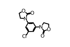 O=C1OCCN1c1cc(Cl)cc(N2CCOC2=O)c1